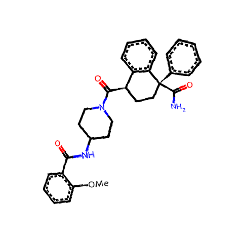 COc1ccccc1C(=O)NC1CCN(C(=O)[C@@H]2CC[C@](C(N)=O)(c3ccccc3)c3ccccc32)CC1